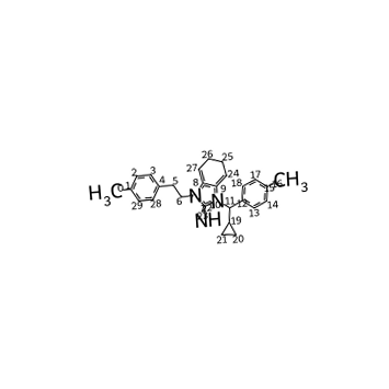 Cc1ccc(CCn2c3c(n(C(c4ccc(C)cc4)C4CC4)c2=N)=CCCC=3)cc1